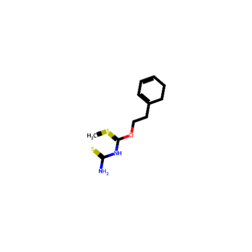 C=S=C(NC(N)=S)OCCC1=CC=CCC1